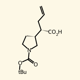 C=CC[C@H](C(=O)O)[C@H]1CCN(C(=O)OC(C)(C)C)C1